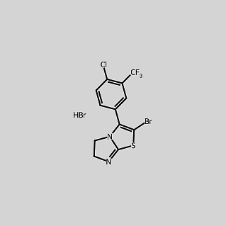 Br.FC(F)(F)c1cc(C2=C(Br)SC3=NCCN32)ccc1Cl